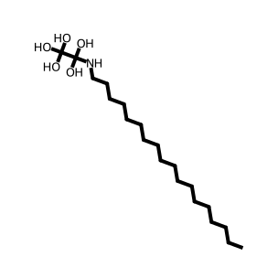 CCCCCCCCCCCCCCCCCCNC(O)(O)C(O)(O)O